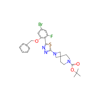 CC(C)(C)OC(=O)N1CCC2(CC1)CN(c1nnc(-c3c(F)cc(Br)cc3OCc3ccccc3)s1)C2